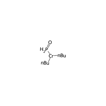 CCC[CH2][Cr]([CH2]CCC)[PH2]=O